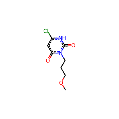 COCCCn1c(=O)cc(Cl)[nH]c1=O